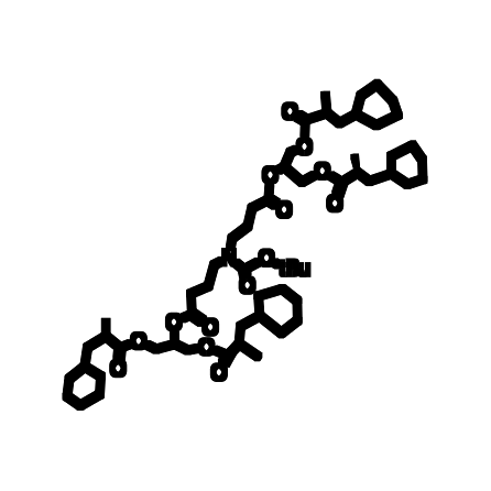 CC(CC1CCCCC1)C(=O)OCC(COC(=O)C(C)CC1CCCCC1)OC(=O)CCCN(CCCC(=O)OC(COC(=O)C(C)CC1CCCCC1)COC(=O)[C@@H](C)CC1CCCCC1)C(=O)OC(C)(C)C